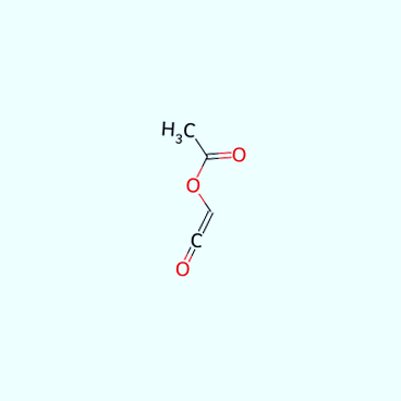 CC(=O)OC=C=O